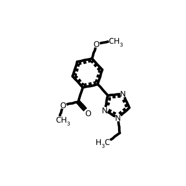 CCn1cnc(-c2cc(OC)ccc2C(=O)OC)n1